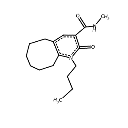 CCCCn1c2c(cc(C(=O)NC)c1=O)CCCCCC2